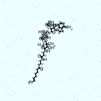 CC(C)/C=C/CCCCC(=O)SCCNC(=O)CCNC(=O)C(O)C(C)(C)COP(=O)(O)OP(=O)(O)OC[C@H]1O[C@@H](n2cnc3c(N)ncnc32)[C@H](O)[C@@H]1OP(=O)(O)O